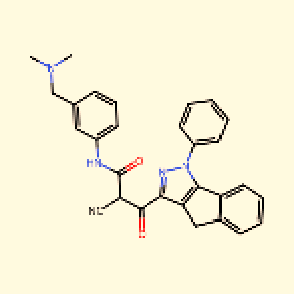 CN(C)Cc1cccc(NC(=O)C(C#N)C(=O)c2nn(-c3ccccc3)c3c2Cc2ccccc2-3)c1